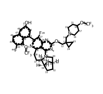 Oc1cc(-c2nc3c4c(nc(OCC5(CN6CCC(OC(F)(F)F)CC6)CC5)nc4c2F)N2C[C@H]4CC[C@H](N4)[C@H]2CC3)c2c(OC(F)(F)F)c(F)ccc2c1